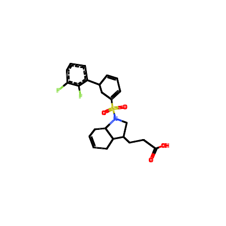 O=C(O)CCC1CN(S(=O)(=O)C2=CC=CC(c3cccc(F)c3F)C2)C2CC=CCC12